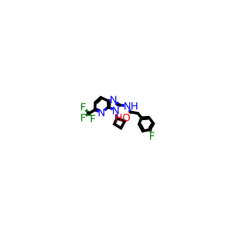 OC(Cc1ccc(F)cc1)Nc1nc2ccc(C(F)(F)F)nc2n1C1CCC1